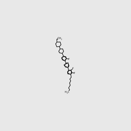 C=CC1CCC(C2CCC(c3ccc(-c4ccc(-c5ccc(CCCCCCCC)c(F)c5F)cc4)c(F)c3)CC2)CC1